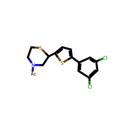 CC(=O)N1CCSC(c2ccc(-c3cc(Cl)cc(Cl)c3)s2)C1